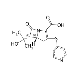 CC(C)(O)[C@@H]1C(=O)N2C(C(=O)O)=C(Sc3ccncc3)C[C@H]12